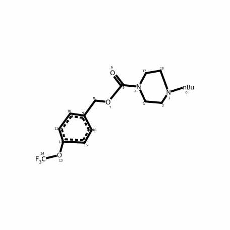 [CH2]CCCN1CCN(C(=O)OCc2ccc(OC(F)(F)F)cc2)CC1